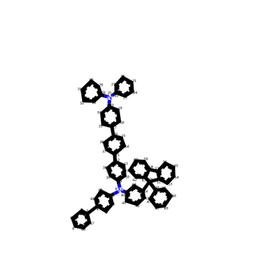 c1ccc(-c2ccc(N(c3ccc(-c4ccc(-c5ccc(N(c6ccccc6)c6ccccc6)cc5)cc4)cc3)c3cccc(C4(c5ccccc5)c5ccccc5-c5ccccc54)c3)cc2)cc1